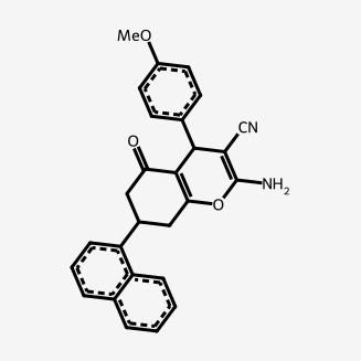 COc1ccc(C2C(C#N)=C(N)OC3=C2C(=O)CC(c2cccc4ccccc24)C3)cc1